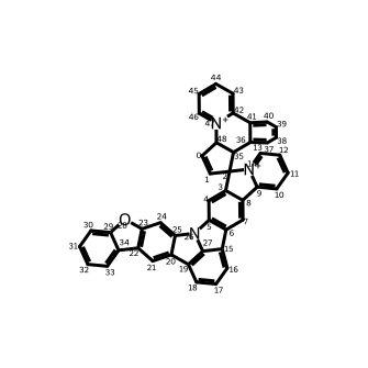 C1=CC2(c3cc4c(cc3-c3cccc[n+]32)c2cccc3c5cc6c(cc5n4c23)oc2ccccc26)C2c3ccccc3-c3cccc[n+]3C12